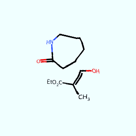 CCOC(=O)C(C)=CO.O=C1CCCCCN1